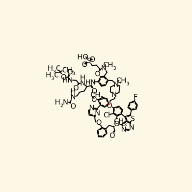 COc1ccccc1-c1nccc(COc2ccccc2CC(C=O)Oc2ncnc3sc(-c4ccc(F)cc4)c(-c4ccc(OCCN5CC[N+](C)(Cc6ccc(NC(=O)C(CCCNC(N)=O)NC(=O)CNC(=O)OC(C)(C)C)cc6CN(C)C(=O)CCS(=O)(=O)O)CC5)c(Cl)c4C)c23)n1